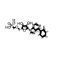 O=P(O)(O)COC[C@H]1O[C@@H](n2cnc3c(-c4ccccc4F)ncnc32)[C@H](O)[C@@H]1O